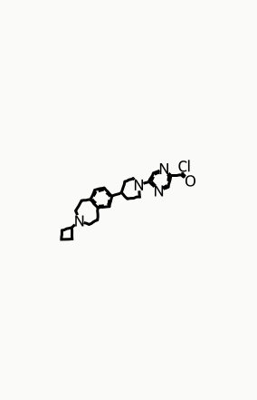 O=C(Cl)c1cnc(N2CCC(c3ccc4c(c3)CCN(C3CCC3)CC4)CC2)cn1